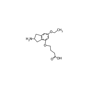 CCOc1cc2c(c(OCCCC(=O)O)c1)CC(N)C2